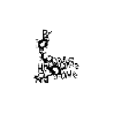 COc1cc(C2=NCCO2)c(NC(=O)CCSc2ccc(Br)cc2)c(OC)c1OC